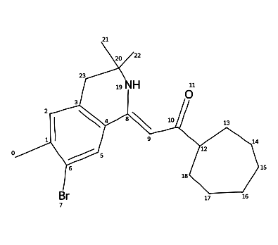 Cc1cc2c(cc1Br)/C(=C/C(=O)C1CCCCCC1)NC(C)(C)C2